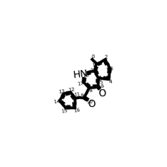 Cc1cccc2c(=O)c(C(=O)c3ccccc3)c[nH]c12